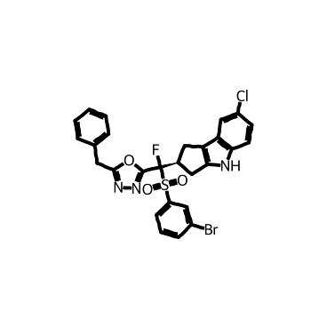 O=S(=O)(c1cccc(Br)c1)C(F)(c1nnc(Cc2ccccc2)o1)[C@@H]1Cc2[nH]c3ccc(Cl)cc3c2C1